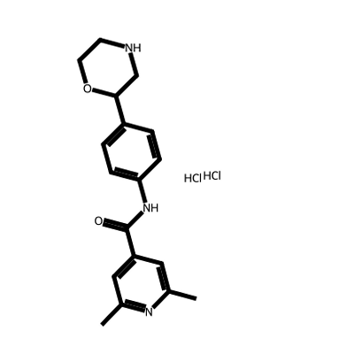 Cc1cc(C(=O)Nc2ccc(C3CNCCO3)cc2)cc(C)n1.Cl.Cl